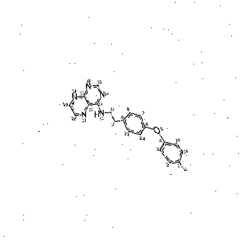 Cc1ccc(Oc2ccc(CCNc3ncnc4nccnc34)cc2)cc1